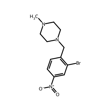 CN1CCN(Cc2ccc([N+](=O)[O-])cc2Br)CC1